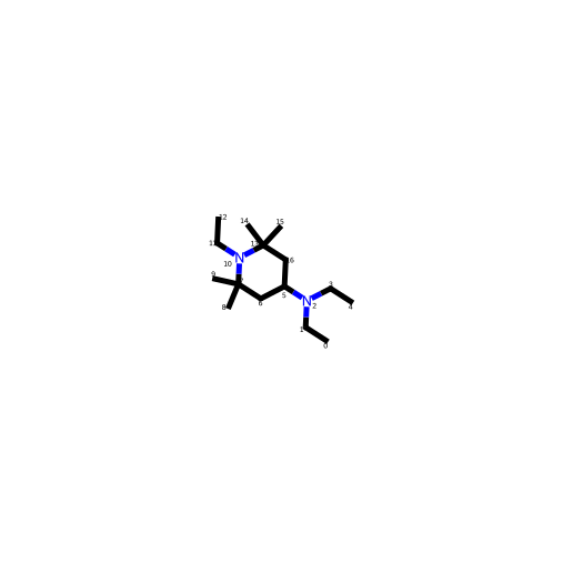 CCN(CC)C1CC(C)(C)N(CC)C(C)(C)C1